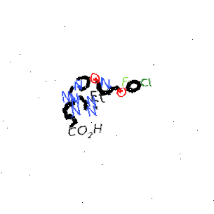 CCn1cncc1Cn1c(CN2CCC(Oc3cccc(COc4ccc(Cl)cc4F)n3)CC2)nc2ccc(CCC(=O)O)nc21